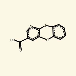 O=C(O)c1cnc2c(c1)Oc1ccccc1S2